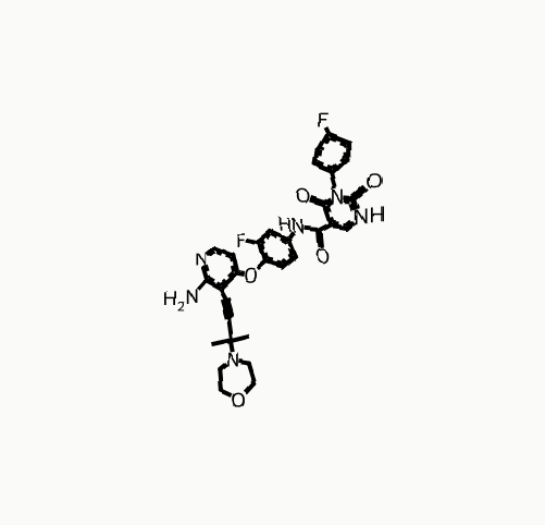 CC(C)(C#Cc1c(Oc2ccc(NC(=O)c3c[nH]c(=O)n(-c4ccc(F)cc4)c3=O)cc2F)ccnc1N)N1CCOCC1